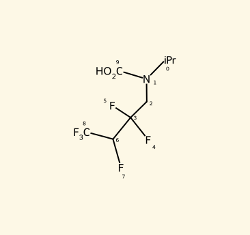 CC(C)N(CC(F)(F)C(F)C(F)(F)F)C(=O)O